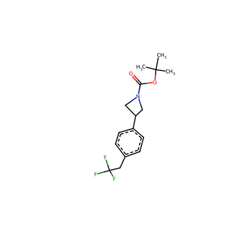 CC(C)(C)OC(=O)N1CC(c2ccc(CC(F)(F)F)cc2)C1